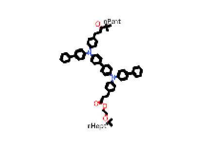 CCCCCCCC(C)(C)OCCOC(=O)CCc1ccc(N(c2ccc(-c3ccccc3)cc2)c2ccc(-c3ccc(N(c4ccc(CCC(=O)C(C)(C)CCCCC)cc4)c4ccc(-c5ccccc5)cc4)cc3)cc2)cc1